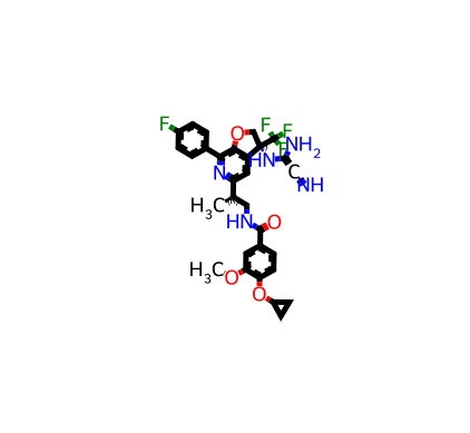 COc1cc(C(=O)NC[C@@H](C)c2cc3c(c(-c4ccc(F)cc4)n2)OC[C@@]3(NC(N)=C=N)C(F)(F)F)ccc1OC1CC1